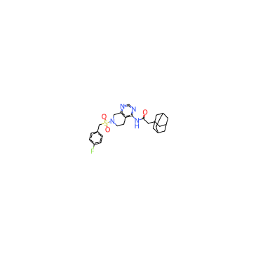 O=C(CC12CC3CC(CC(C3)C1)C2)Nc1ncnc2c1CCN(S(=O)(=O)Cc1ccc(F)cc1)C2